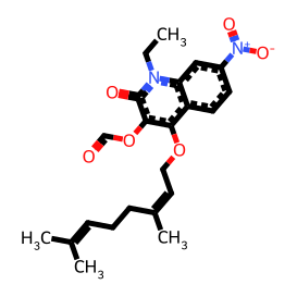 CCn1c(=O)c(OC=O)c(OCC=C(C)CCC=C(C)C)c2ccc([N+](=O)[O-])cc21